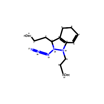 CCCCCCCCCCCCC1C2=C(C=CCC2)N(CCCCCCCCCCCC)N1N=[N+]=[N-]